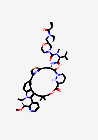 C=CC(=O)N1CC[C@]2(C1)CN(C(=O)N(C)C(C(=O)N[C@H]1Cc3nc(cs3)-c3ccc4c(c3)c(c(-c3cccnc3[C@H](C)OC)n4CC)CC(C)(C)COC(=O)[C@@H]3CCCN(N3)C1=O)C(C)C)CCO2